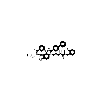 C[C@@H](c1cccc(Oc2cc(Cl)ccc2N(CCCNC(=O)NCc2ccccc2F)C(=O)c2ccc(-c3ccccc3)cc2)c1)N(C(=O)O)C(C)(C)C